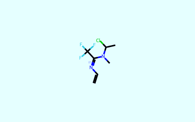 C=C/N=C(\N(C)C(C)Cl)C(F)(F)F